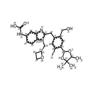 CC1OB(c2cc(CO)c(Cc3nc4cc(NC(=O)O)ccc4n3C[C@@H]3CCO3)cc2F)OC1(C)C